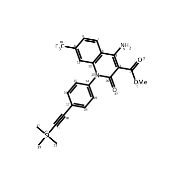 COC(=O)c1c(N)c2ccc(C(F)(F)F)cc2n(-c2ccc(C#C[Si](C)(C)C)cc2)c1=O